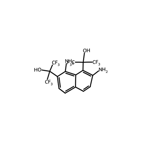 Nc1ccc2ccc(C(O)(C(F)(F)F)C(F)(F)F)c(N)c2c1C(O)(C(F)(F)F)C(F)(F)F